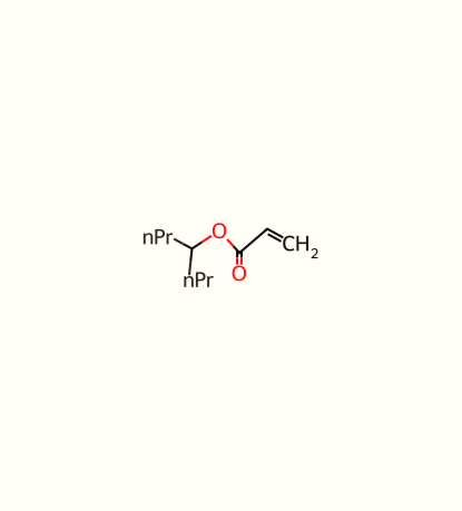 C=CC(=O)OC(CCC)CCC